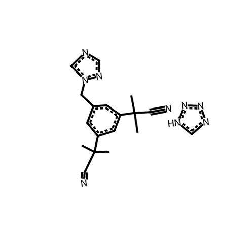 CC(C)(C#N)c1cc(Cn2cncn2)cc(C(C)(C)C#N)c1.c1nnn[nH]1